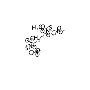 COC(=O)C1CSC(c2cccc([N+](=O)[O-])c2)N1C(=O)CCCCCCCC(=O)N1C(C(=O)OC)CSC1c1cccc([N+](=O)[O-])c1